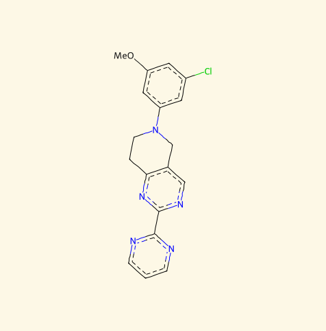 COc1cc(Cl)cc(N2CCc3nc(-c4ncccn4)ncc3C2)c1